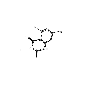 Cn1c(=O)[nH]c2cc(C=O)cc(Cl)c2c1=O